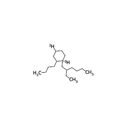 [2H]C1CCC([2H])(CC(CC)CCCC)C(CCCC)C1